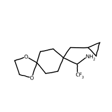 NC(C(F)(F)F)C1(CC2CC2)CCC2(CC1)OCCO2